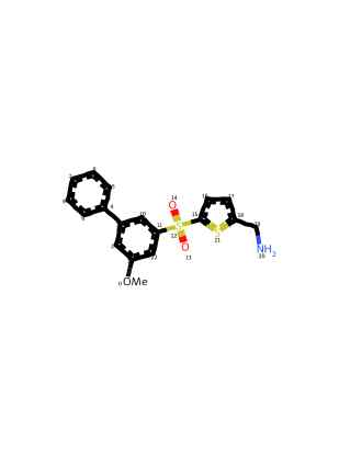 COc1cc(-c2ccccc2)cc(S(=O)(=O)c2ccc(CN)s2)c1